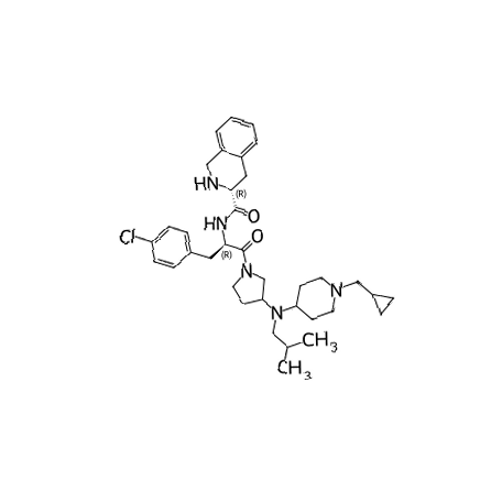 CC(C)CN(C1CCN(CC2CC2)CC1)C1CCN(C(=O)[C@@H](Cc2ccc(Cl)cc2)NC(=O)[C@H]2Cc3ccccc3CN2)C1